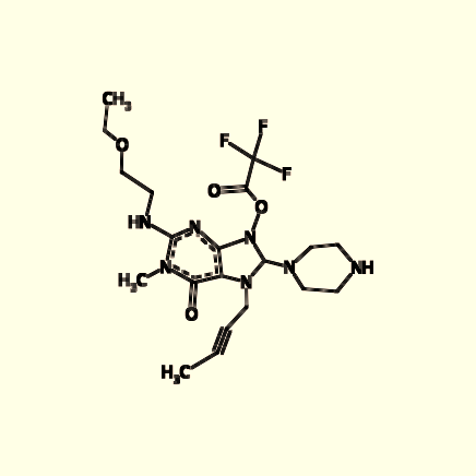 CC#CCN1c2c(nc(NCCOCC)n(C)c2=O)N(OC(=O)C(F)(F)F)C1N1CCNCC1